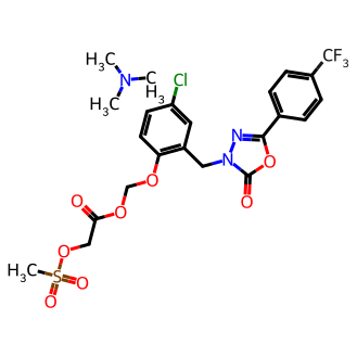 CN(C)C.CS(=O)(=O)OCC(=O)OCOc1ccc(Cl)cc1Cn1nc(-c2ccc(C(F)(F)F)cc2)oc1=O